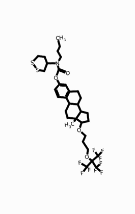 CCCCN(C(=O)Oc1ccc2c(c1)CCC1C2CCC2(C)C(OCCCOC(C(F)(F)F)(C(F)(F)F)C(F)(F)F)CCC12)C1CCSSC1